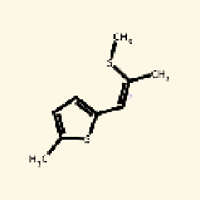 CS/C(C)=C\c1ccc(C)s1